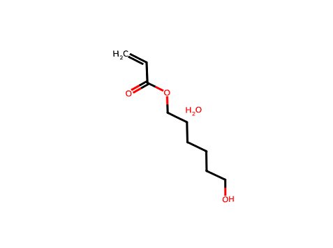 C=CC(=O)OCCCCCCO.O